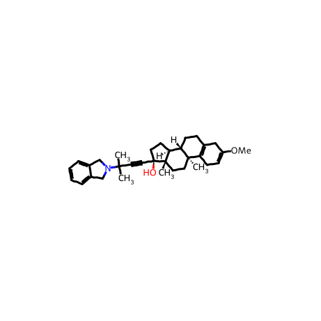 COC1=CCC2=C(CC[C@H]3[C@@H]4CC[C@@](O)(C#CC(C)(C)N5Cc6ccccc6C5)[C@@]4(C)CC[C@]23C)C1